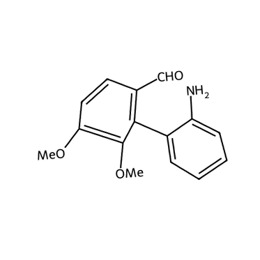 COc1ccc(C=O)c(-c2ccccc2N)c1OC